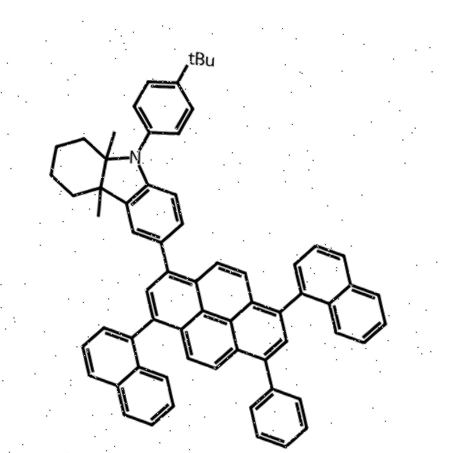 CC(C)(C)c1ccc(N2c3ccc(-c4cc(-c5cccc6ccccc56)c5ccc6c(-c7ccccc7)cc(-c7cccc8ccccc78)c7ccc4c5c67)cc3C3(C)CCCCC23C)cc1